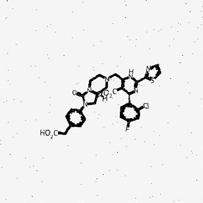 CCOC(=O)C1=C(CN2CCN3C(=O)N(c4ccc(CC(=O)O)cc4)C[C@@H]3C2)NC(c2nccs2)=N[C@H]1c1ccc(F)cc1Cl